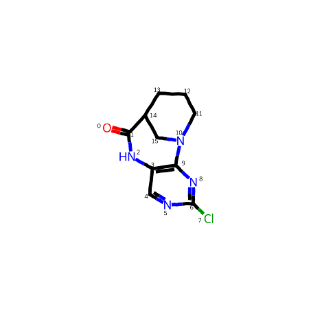 O=C1Nc2cnc(Cl)nc2N2CCCC1C2